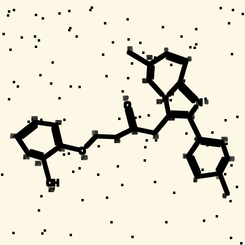 Cc1ccc(-c2nc3ccc(C)cn3c2CC(=O)CCOc2ccccc2O)cc1